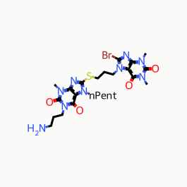 CCCCCn1c(SCCCn2c(Br)nc3c2c(=O)n(C)c(=O)n3C)nc2c1c(=O)n(CCCN)c(=O)n2C